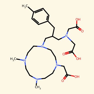 Cc1ccc(CC(CN2CCN(C)CCN(C)CCN(CC(=O)O)CC2)CN(CC(=O)O)CC(=O)O)cc1